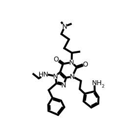 CCNn1c(Cc2ccccc2)nc2c1c(=O)n(C(C)CCCN(C)C)c(=O)n2CCc1ccccc1N